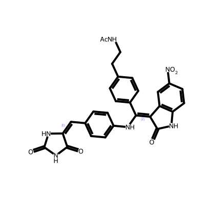 CC(=O)NCCc1ccc(/C(Nc2ccc(/C=C3/NC(=O)NC3=O)cc2)=C2/C(=O)Nc3ccc([N+](=O)[O-])cc32)cc1